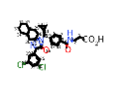 O=C(O)CCNC(=O)c1ccc([C@@H](C2CC2)N2C(=O)C(c3cc(Cl)cc(Cl)c3)=NC23CCC2CCCCC2C3)cc1